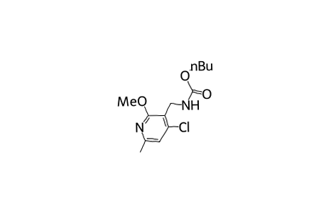 CCCCOC(=O)NCc1c(Cl)cc(C)nc1OC